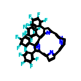 Fc1c(F)c(F)c(-c2c(-c3c(F)c(F)c(F)c(F)c3F)c3[nH]c2cc2nc(cc4ccc(cc5nc(c3-c3c(F)c(F)c(F)c(F)c3F)C(c3c(F)c(F)c(F)c(F)c3F)C5)[nH]4)C=C2)c(F)c1F